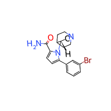 NC(=O)c1ccc(-c2cccc(Br)c2)n1[C@H]1CN2CCC1CC2